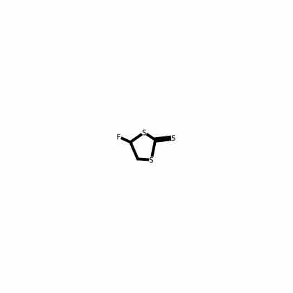 FC1CSC(=S)S1